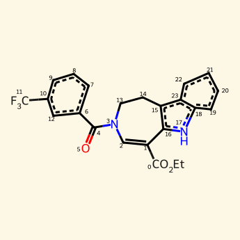 CCOC(=O)C1=CN(C(=O)c2cccc(C(F)(F)F)c2)CCc2c1[nH]c1ccccc21